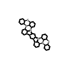 c1ccc2c(c1)Sc1cccc3c1B2c1cccc2c4cc5c6cccc7c6n(c5cc4n-3c12)-c1cccc2c1B7c1ccccc1S2